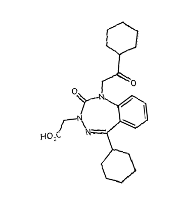 O=C(O)CN1N=C(C2CCCCC2)c2ccccc2N(CC(=O)C2CCCCC2)C1=O